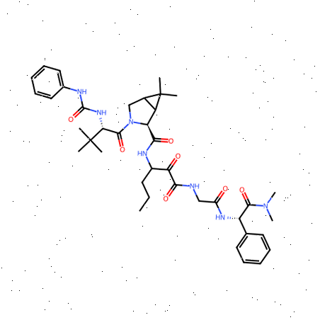 CCCC(NC(=O)[C@@H]1C2C(CN1C(=O)[C@@H](NC(=O)Nc1ccccc1)C(C)(C)C)C2(C)C)C(=O)C(=O)NCC(=O)N[C@H](C(=O)N(C)C)c1ccccc1